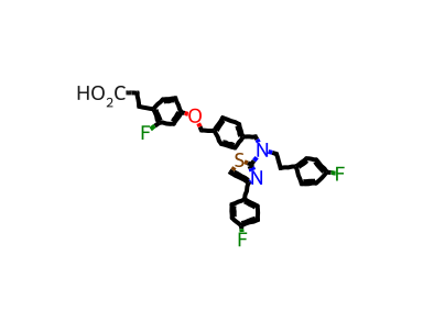 O=C(O)CCc1ccc(OCc2ccc(CN(CCc3ccc(F)cc3)c3nc(-c4ccc(F)cc4)cs3)cc2)cc1F